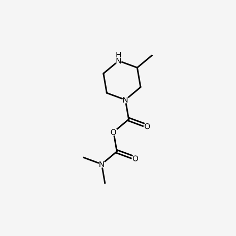 CC1CN(C(=O)OC(=O)N(C)C)CCN1